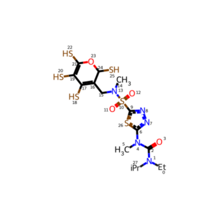 CCN(C(=O)N(C)c1nnc(S(=O)(=O)N(C)CC2=C(S)C(S)=C(S)OC2S)s1)C(C)C